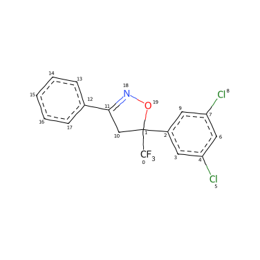 FC(F)(F)C1(c2cc(Cl)cc(Cl)c2)CC(c2ccccc2)=NO1